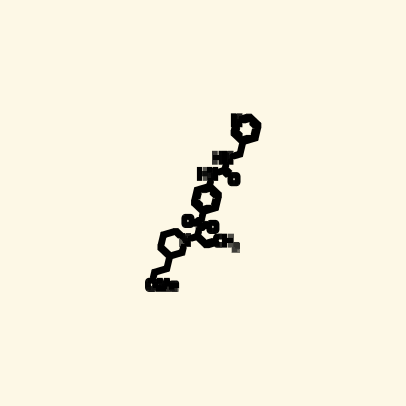 C=CC(N1CCCC(CCOC)C1)S(=O)(=O)c1ccc(NC(=O)NCc2cccnc2)cc1